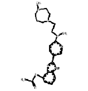 CN1CCCN(CCN(C)c2ccc(-c3nc4c(OC(N)=O)cccc4[nH]3)cn2)CC1